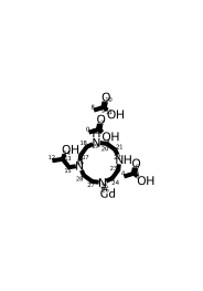 CC(=O)O.CC(=O)O.CC(=O)O.CC(O)CN1CCNCCNCC[N]([Gd])CC1